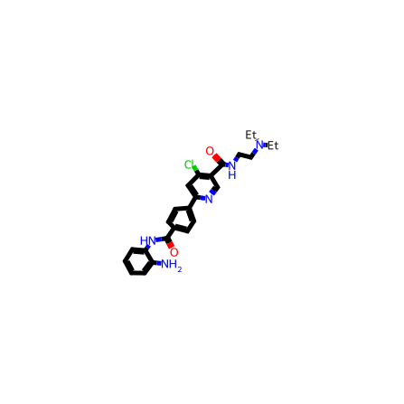 CCN(CC)CCNC(=O)c1cnc(-c2ccc(C(=O)Nc3ccccc3N)cc2)cc1Cl